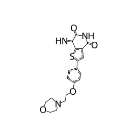 N=C1C(=O)NC(=O)c2cc(-c3ccc(OCCN4CCOCC4)cc3)sc21